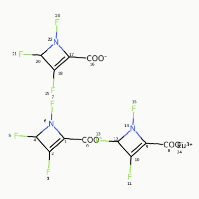 O=C([O-])C1=C(F)C(F)N1F.O=C([O-])C1=C(F)C(F)N1F.O=C([O-])C1=C(F)C(F)N1F.[Eu+3]